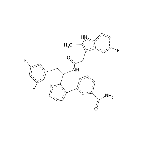 Cc1[nH]c2ccc(F)cc2c1CC(=O)NC(Cc1cc(F)cc(F)c1)c1ncccc1-c1cccc(C(N)=O)c1